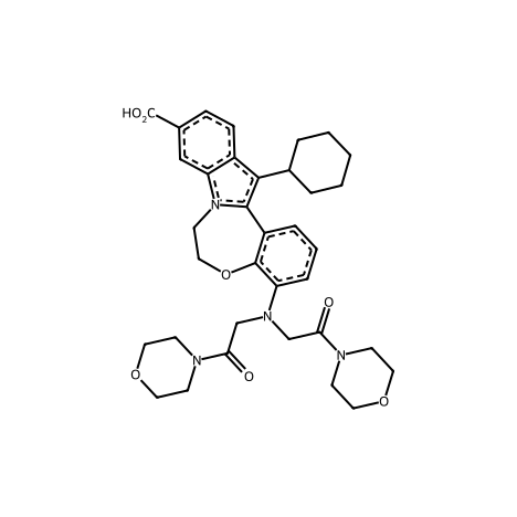 O=C(O)c1ccc2c(C3CCCCC3)c3n(c2c1)CCOc1c-3cccc1N(CC(=O)N1CCOCC1)CC(=O)N1CCOCC1